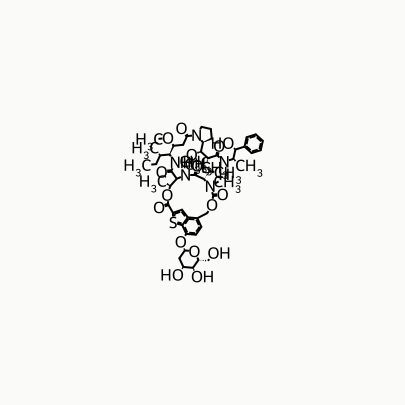 CC[C@H](C)[C@@H](C(CC(=O)N1CCC[C@H]1[C@H](OC)[C@@H](C)C(=O)N[C@H](C)[C@@H](O)c1ccccc1)OC)N(C)C(=O)C1NC(=O)[C@H](C(C)C)N(C)C(=O)OCc2ccc(O[C@H]3C[C@@H](O)[C@@H](O)[C@@H](CO)O3)c3sc(cc23)C(=O)O[C@H]1C